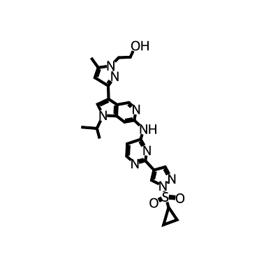 Cc1cc(-c2cn(C(C)C)c3cc(Nc4ccnc(-c5cnn(S(=O)(=O)C6CC6)c5)n4)ncc23)nn1CCO